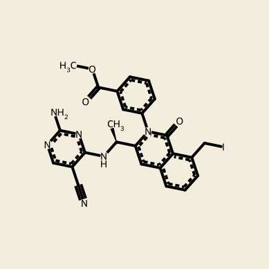 COC(=O)c1cccc(-n2c([C@H](C)Nc3nc(N)ncc3C#N)cc3cccc(CI)c3c2=O)c1